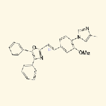 COc1cc(/C=C/c2nc(-c3ccccc3)c(-c3ccccc3)o2)ccc1-n1cnc(C)c1